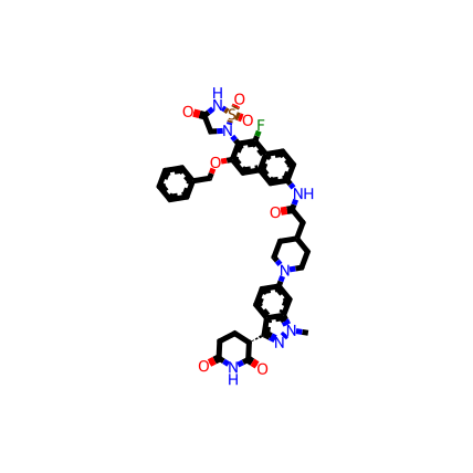 Cn1nc([C@H]2CCC(=O)NC2=O)c2ccc(N3CCC(CC(=O)Nc4ccc5c(F)c(N6CC(=O)NS6(=O)=O)c(OCc6ccccc6)cc5c4)CC3)cc21